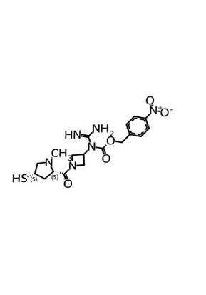 CN1C[C@@H](S)C[C@H]1C(=O)N1CC(N(C(=N)N)C(=O)OCc2ccc([N+](=O)[O-])cc2)C1